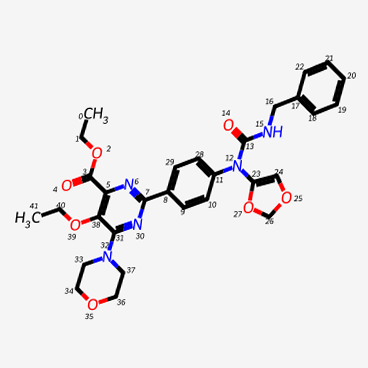 CCOC(=O)c1nc(-c2ccc(N(C(=O)NCc3ccccc3)C3=COCO3)cc2)nc(N2CCOCC2)c1OCC